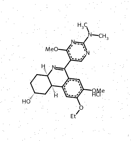 CCOc1cc2c(cc1OC)C(c1cnc(N(C)C)nc1OC)=N[C@@H]1CC[C@@H](O)C[C@H]21.Cl